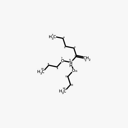 C=C(CCCC)[SiH](OCCC)OCCC